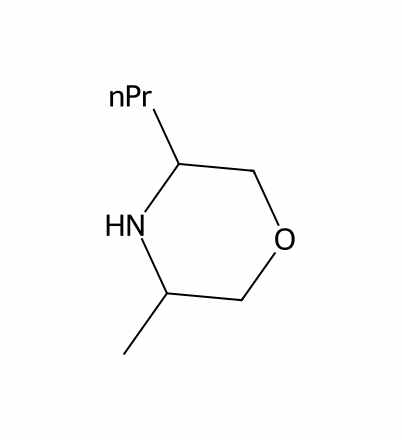 CCCC1COCC(C)N1